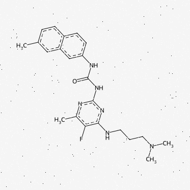 Cc1ccc2ccc(NC(=O)Nc3nc(C)c(F)c(NCCCN(C)C)n3)cc2c1